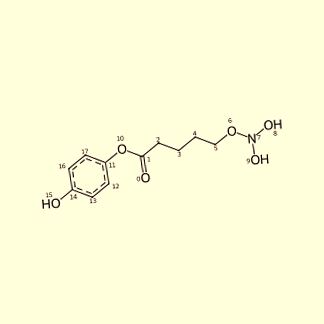 O=C(CCCCON(O)O)Oc1ccc(O)cc1